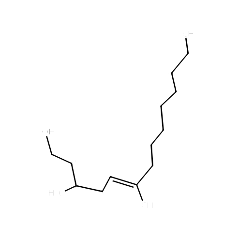 CCCCCCCCC(C)=CCC(C)CCO